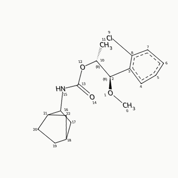 CO[C@H](c1ccccc1Cl)[C@@H](C)OC(=O)NC1CC2CCC1C2